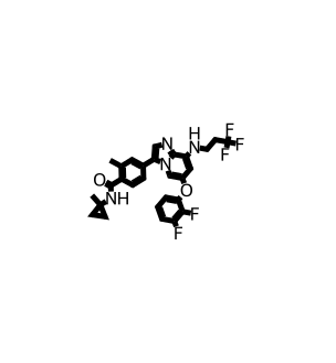 Cc1cc(-c2cnc3c(NCCC(F)(F)F)cc(Oc4cccc(F)c4F)cn23)ccc1C(=O)NC1(C)CC1